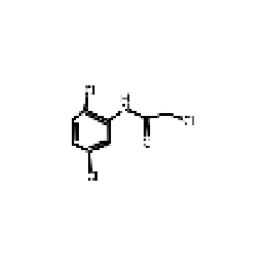 O=C(CCl)Nc1cc(Cl)ccc1Cl